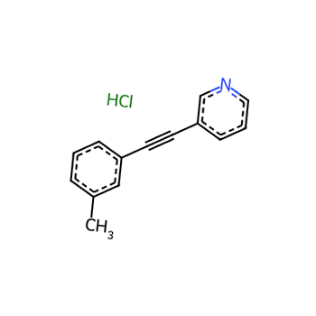 Cc1cccc(C#Cc2cccnc2)c1.Cl